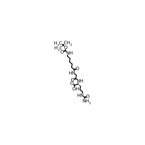 CC(C)(C)OC(=O)NCCCCCC(=O)NCC(=O)N[C@@H](CCCNC(N)=O)C(=O)O